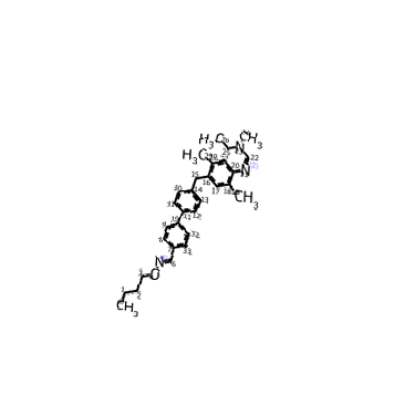 CCCCO/N=C/c1ccc(-c2ccc(Cc3cc(C)c(/N=C\N(C)CC)cc3C)cc2)cc1